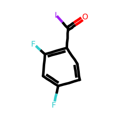 O=C(I)c1ccc(F)cc1F